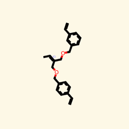 C=Cc1ccc(COC/C(=C\C)COCc2cccc(C=C)c2)cc1